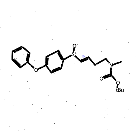 CN(CC/C=C/[S+]([O-])c1ccc(Oc2ccccc2)cc1)C(=O)OC(C)(C)C